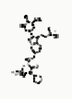 Cc1cc(-c2nc3cc(CN[C@@H](CC(C)C)C(=O)OC4CCCC4)ccc3n2CCN(C)C)c[nH]c1=O